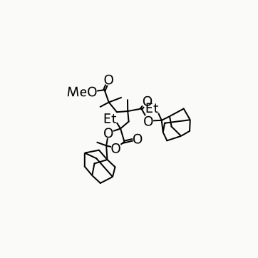 CCC1(CC(C)(CC(C)(C)C(=O)OC)C(=O)OC2(CC)C3CC4CC(C3)CC2C4)OC(C)(C23CC4CC(CC(C4)C2)C3)OC1=O